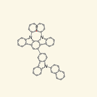 c1ccc(-n2c3ccccc3c3cc(-c4ccc5c(c4)c4ccccc4n5-c4ccc5ccccc5c4)c4c5ccccc5n(-c5ccccc5)c4c32)cc1